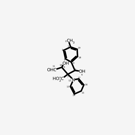 Cc1ccc(C(O)C(C(=O)O)(C(O)C=O)N2C=CCC=C2)cc1